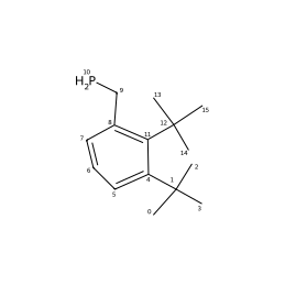 CC(C)(C)c1cccc(CP)c1C(C)(C)C